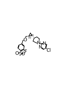 CS(=O)(=O)c1ccc(COC[C@H]2C[C@@H]2C2CCN(c3ncc(Cl)cn3)CC2)cc1F